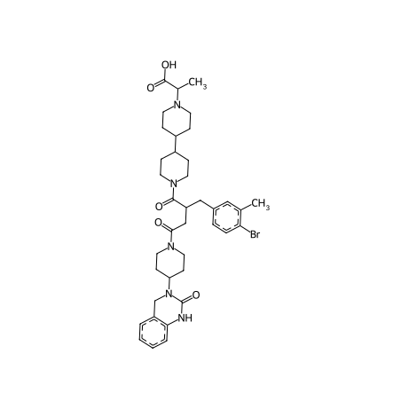 Cc1cc(CC(CC(=O)N2CCC(N3Cc4ccccc4NC3=O)CC2)C(=O)N2CCC(C3CCN(C(C)C(=O)O)CC3)CC2)ccc1Br